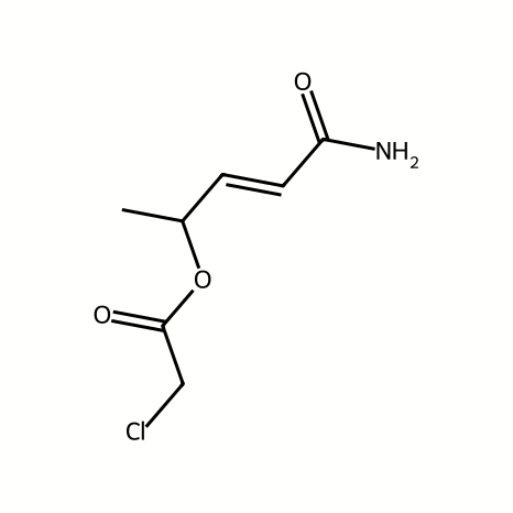 CC(/C=C/C(N)=O)OC(=O)CCl